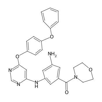 Nc1cc(Nc2cc(Oc3ccc(Oc4ccccc4)cc3)ncn2)cc(C(=O)N2CCOCC2)c1